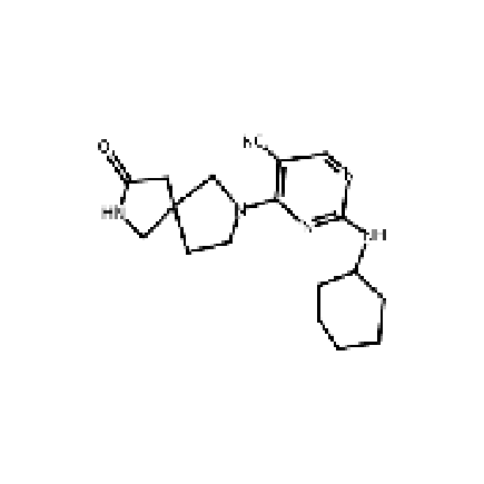 N#Cc1cnc(NC2CCCCC2)nc1N1CCC2(CNC(=O)C2)C1